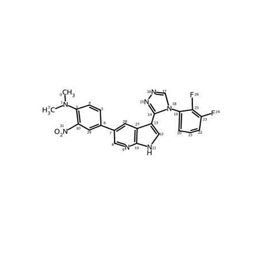 CN(C)c1ccc(-c2cnc3[nH]cc(-c4nncn4-c4cccc(F)c4F)c3c2)cc1[N+](=O)[O-]